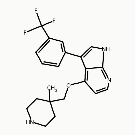 CC1(COc2ccnc3[nH]cc(-c4cccc(C(F)(F)F)c4)c23)CCNCC1